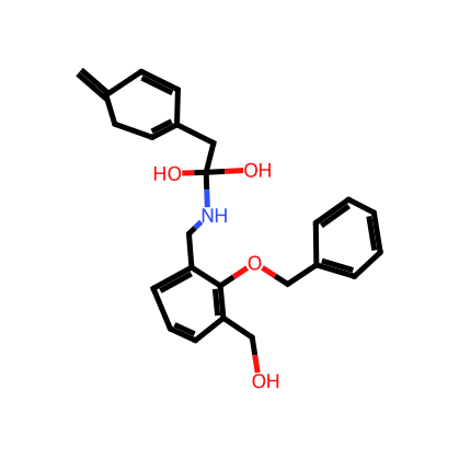 C=C1C=CC(CC(O)(O)NCc2cccc(CO)c2OCc2ccccc2)=CC1